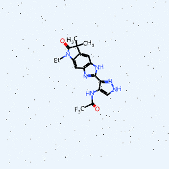 CCN1C(=O)C(C)(C)c2cc3[nH]c(-c4n[nH]cc4NC(=O)C(F)(F)F)nc3cc21